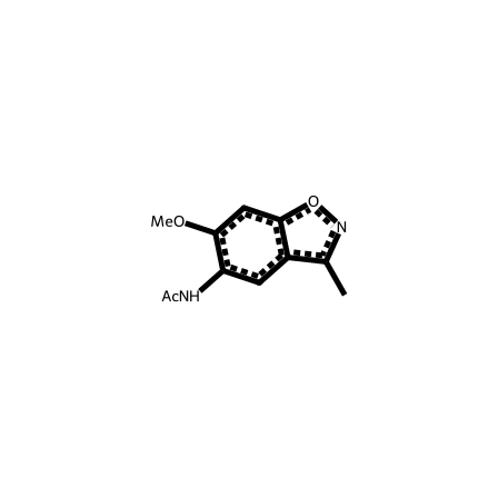 COc1cc2onc(C)c2cc1NC(C)=O